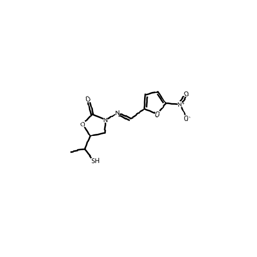 CC(S)C1CN(N=Cc2ccc([N+](=O)[O-])o2)C(=O)O1